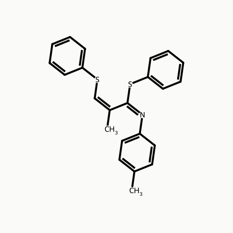 CC(=CSc1ccccc1)C(=Nc1ccc(C)cc1)Sc1ccccc1